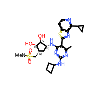 CNS(=O)(=O)C[C@H]1C[C@@H](Nc2nc(NC3CCC3)nc(C)c2-c2nc3c(C4CC4)nccc3s2)[C@H](O)[C@@H]1O